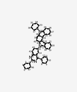 c1ccc(-c2nc(-c3ccccc3)c3cc(-n4c5ccccc5c5c6c7ccccc7n(-c7ccccc7)c6ccc54)ccc3n2)cc1